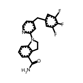 NC(=O)c1cccc2c1CCN2c1cc(Cc2cc(F)c(F)c(F)c2)ccn1